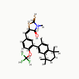 Cc1cc2c(cc1-c1cc(C=C3SC(=S)N(C)C3=O)ccc1OC(F)(F)F)C(C)(C)CCC2(C)C